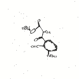 CCCCOC(=O)C(O)C(=O)c1cccc(CCCC)c1[C]=O